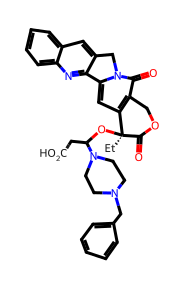 CC[C@@]1(OC(CC(=O)O)N2CCN(Cc3ccccc3)CC2)C(=O)OCc2c1cc1n(c2=O)Cc2cc3ccccc3nc2-1